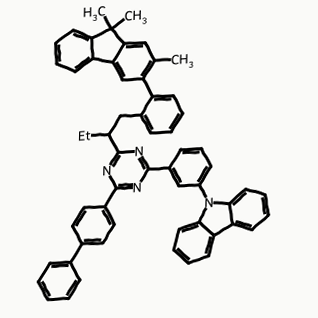 CCC(Cc1ccccc1-c1cc2c(cc1C)C(C)(C)c1ccccc1-2)c1nc(-c2ccc(-c3ccccc3)cc2)nc(-c2cccc(-n3c4ccccc4c4ccccc43)c2)n1